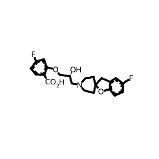 O=C(O)c1ccc(F)cc1OC[C@H](O)CN1CCC2(CC1)Cc1cc(F)ccc1O2